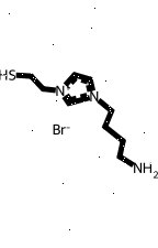 NCCCCn1cc[n+](CCS)c1.[Br-]